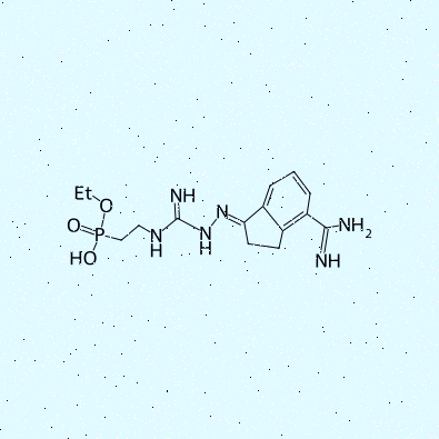 CCOP(=O)(O)CCNC(=N)N/N=C1\CCc2c(C(=N)N)cccc21